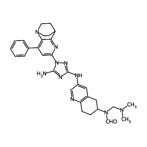 CN(C)CN(C=O)C1CCc2ncc(Nc3nc(N)n(-c4cc(-c5ccccc5)c5c(n4)C4CCN5CC4)n3)cc2C1